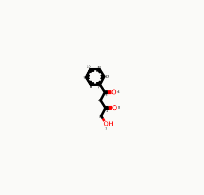 O=C(CO)CC(=O)c1ccccc1